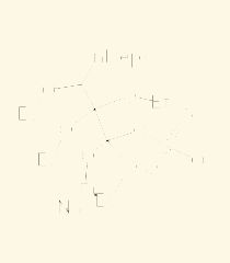 CCCCCCCC(OCC)C(OCC)(OCC)C(OCC)(OCC)OS(=O)(=O)[O-].[Na+]